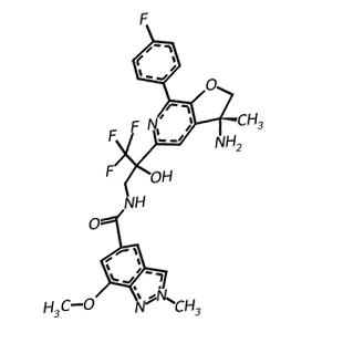 COc1cc(C(=O)NCC(O)(c2cc3c(c(-c4ccc(F)cc4)n2)OC[C@]3(C)N)C(F)(F)F)cc2cn(C)nc12